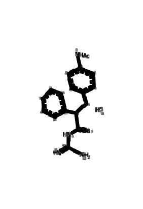 CC(=O)Nc1ccc(CC(C(=O)NC(=N)N)c2ccccc2)cc1.Cl